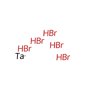 Br.Br.Br.Br.Br.[Ta]